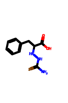 NC(=S)NNC(Cc1ccccc1)C(=O)O